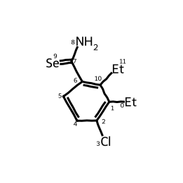 CCc1c(Cl)ccc(C(N)=[Se])c1CC